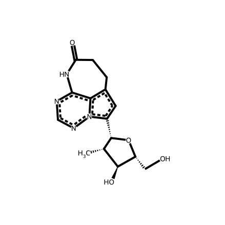 C[C@H]1[C@H](O)[C@@H](CO)O[C@H]1c1cc2c3c(ncnn13)NC(=O)CC2